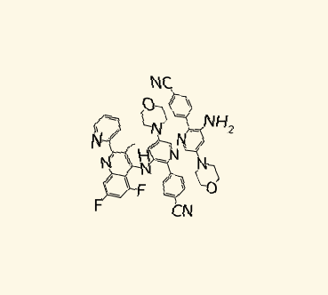 Cc1c(-c2ccccn2)nc2cc(F)cc(F)c2c1Nc1cc(N2CCOCC2)cnc1-c1ccc(C#N)cc1.N#Cc1ccc(-c2ncc(N3CCOCC3)cc2N)cc1